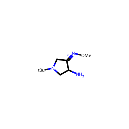 CO/N=C1/CN(C(C)(C)C)CC1N